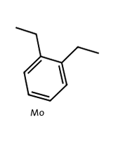 CCc1ccccc1CC.[Mo]